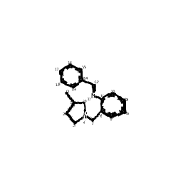 CC1CCN(Cc2ccccc2N=Cc2ccccc2)C1